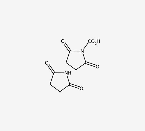 O=C(O)N1C(=O)CCC1=O.O=C1CCC(=O)N1